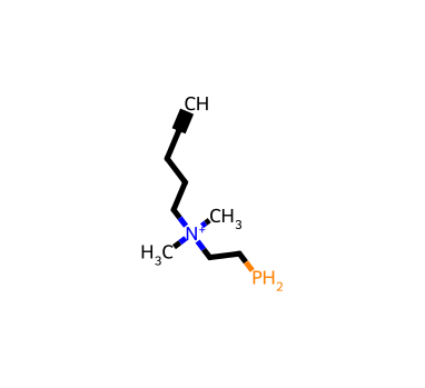 C#CCCC[N+](C)(C)CCP